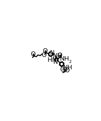 CCS(=O)(=O)Nc1ccc(-c2n[nH]c(Nc3ccc(C(=O)OCCCCC(C)=O)cn3)c2C(N)=O)cc1